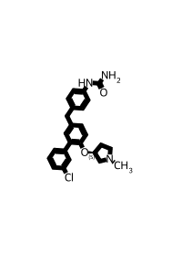 CN1CC[C@H](Oc2ccc(Cc3ccc(NC(N)=O)cc3)cc2-c2cccc(Cl)c2)C1